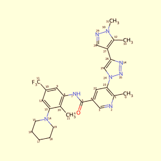 Cc1ncc(C(=O)Nc2cc(C(F)(F)F)cc(N3CCCCC3)c2C)cc1-n1cc(-c2cnn(C)c2C)nn1